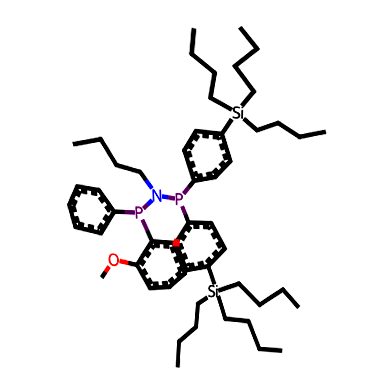 CCCCN(P(c1ccc([Si](CCCC)(CCCC)CCCC)cc1)c1ccc([Si](CCCC)(CCCC)CCCC)cc1)P(c1ccccc1)c1ccccc1OC